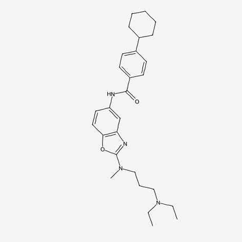 CCN(CC)CCCN(C)c1nc2cc(NC(=O)c3ccc(C4CCCCC4)cc3)ccc2o1